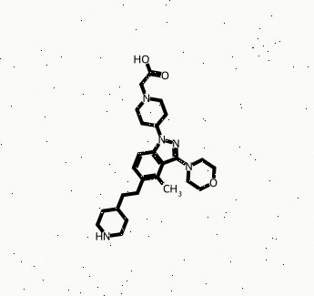 Cc1c(CCC2CCNCC2)ccc2c1c(N1CCOCC1)nn2C1CCN(CC(=O)O)CC1